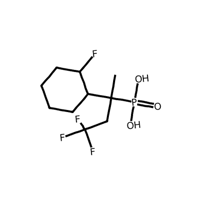 CC(CC(F)(F)F)(C1CCCCC1F)P(=O)(O)O